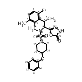 Cc1ccc(F)c([C@@H](C)[C@H](NS(=O)(=O)N2CCC(Oc3ccccc3)CC2)c2n[nH]c(=O)o2)c1C